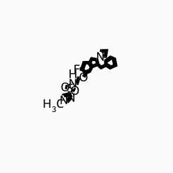 Cn1cnc(S(=O)(=O)NCCOc2cc3c(cc2F)CC(N2CCC2)C3Cc2ccccc2)c1